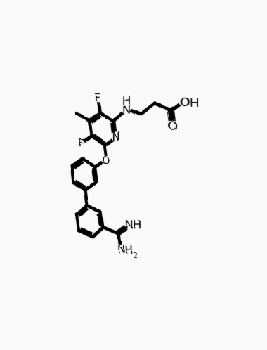 Cc1c(F)c(NCCC(=O)O)nc(Oc2cccc(-c3cccc(C(=N)N)c3)c2)c1F